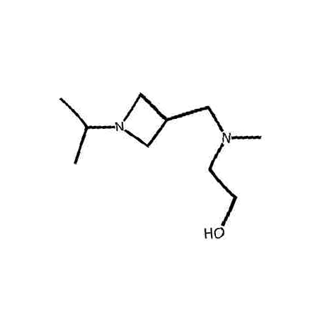 CC(C)N1CC(CN(C)CCO)C1